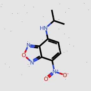 CC(C)Nc1ccc([N+](=O)[O-])c2nonc12